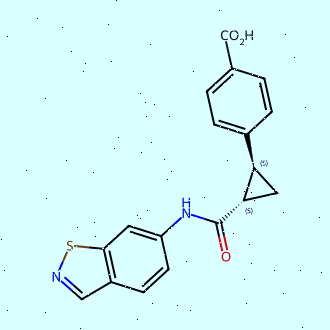 O=C(O)c1ccc([C@H]2C[C@@H]2C(=O)Nc2ccc3cnsc3c2)cc1